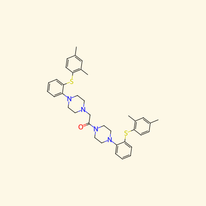 Cc1ccc(Sc2ccccc2N2CCN(CC(=O)N3CCN(c4ccccc4Sc4ccc(C)cc4C)CC3)CC2)c(C)c1